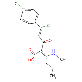 CCCC(NC)=C(C(=O)O)C(=O)C=C(Cl)c1ccc(Cl)cc1